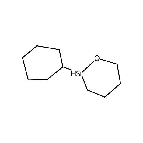 C1CCC([SiH]2CCCCO2)CC1